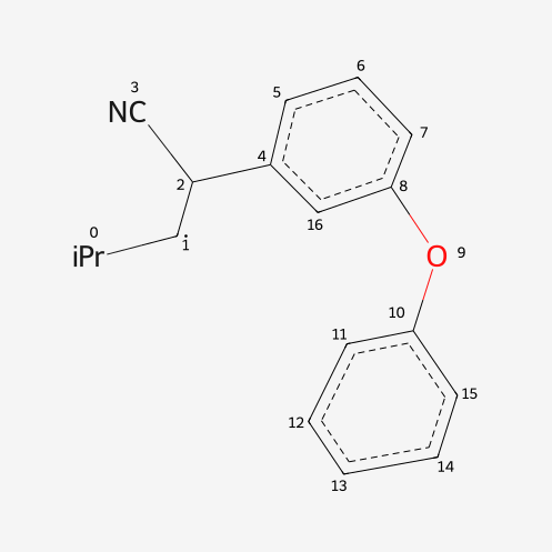 CC(C)[CH]C(C#N)c1cccc(Oc2ccccc2)c1